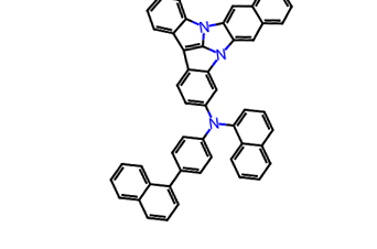 c1ccc2cc3c(cc2c1)n1c2ccccc2c2c4ccc(N(c5ccc(-c6cccc7ccccc67)cc5)c5cccc6ccccc56)cc4n3c21